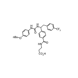 CCCCOc1ccc(NC(=O)NC(Cc2ccc(C(F)(F)F)cc2)c2ccc(C(=O)NCCC(=O)O)cc2)cc1